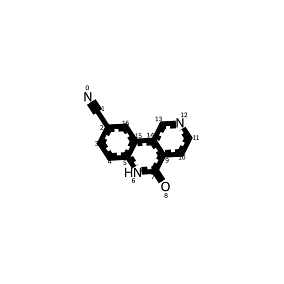 N#Cc1ccc2[nH]c(=O)c3ccncc3c2c1